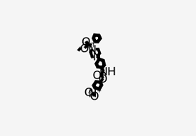 CCOC(=O)[C@H](c1ccccc1)N1CCN(c2ccc(NC(=O)Oc3ccc([N+](=O)[O-])cc3)cc2)CC1